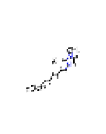 CCCCCCCCCCCCCCN1C=CN(C)C1.[K]